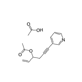 C=CC(CC#Cc1cccnc1)OC(C)=O.CC(=O)O